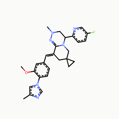 COc1cc(/C=C2\CC3(CC3)CN3C2=NN(C)CC3c2ccc(F)cn2)ccc1-n1cnc(C)c1